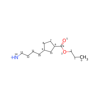 CCCOC(=O)C1CCC(CCCC[NH])C1